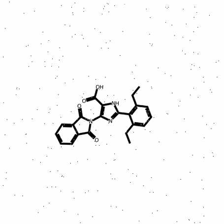 CCc1cccc(CC)c1-c1nc(N2C(=O)c3ccccc3C2=O)c(C(=O)O)[nH]1